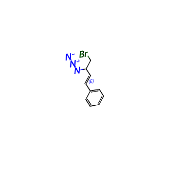 [N-]=[N+]=NC(/C=C/c1ccccc1)CBr